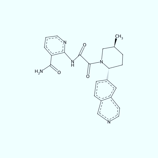 C[C@H]1CC[C@H](c2ccc3cnccc3c2)N(C(=O)C(=O)Nc2ncccc2C(N)=O)C1